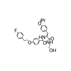 CC(C)Oc1ccc(C=C(NC(=O)c2ccc(OCCc3ccc(F)cc3)cc2)C(=O)NCCO)cc1